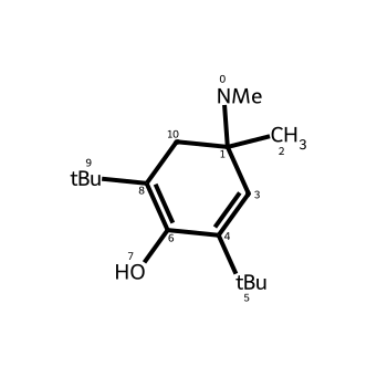 CNC1(C)C=C(C(C)(C)C)C(O)=C(C(C)(C)C)C1